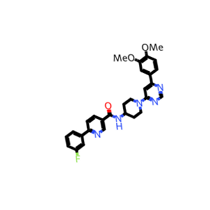 COc1ccc(-c2cc(N3CCC(NC(=O)c4ccc(-c5cccc(F)c5)nc4)CC3)ncn2)cc1OC